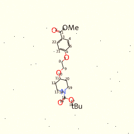 COC(=O)c1ccc(OCCOC2CCN(C(=O)OC(C)(C)C)CC2)cc1